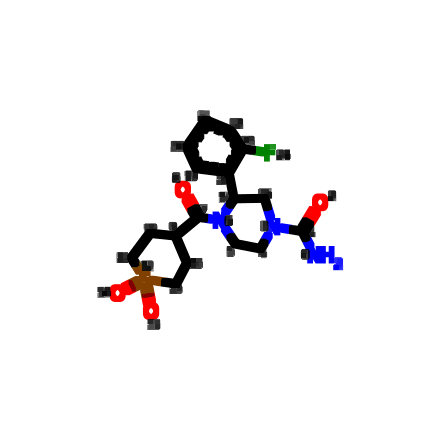 NC(=O)N1CCN(C(=O)C2CCS(=O)(=O)CC2)C(c2ccccc2F)C1